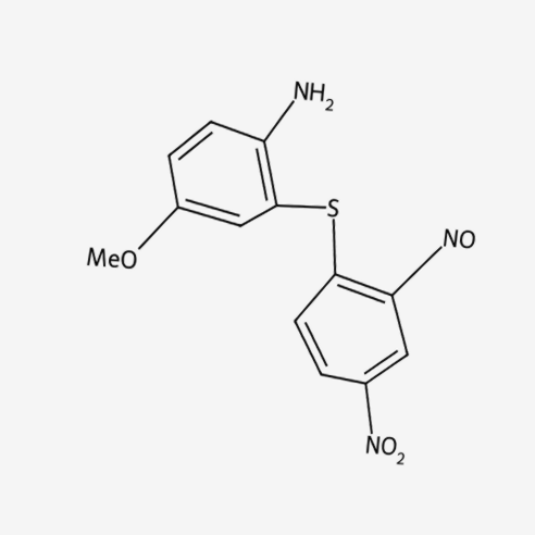 COc1ccc(N)c(Sc2ccc([N+](=O)[O-])cc2N=O)c1